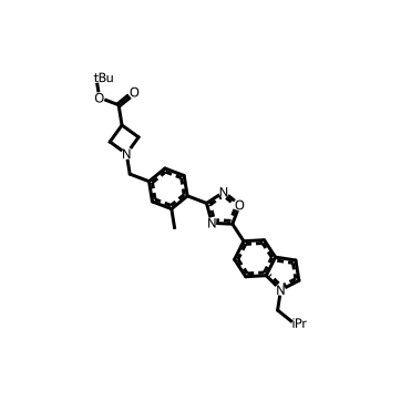 Cc1cc(CN2CC(C(=O)OC(C)(C)C)C2)ccc1-c1noc(-c2ccc3c(ccn3CC(C)C)c2)n1